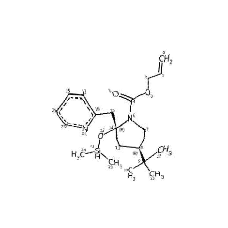 C=CCOC(=O)N1C[C@@H](C(C)(C)C)C[C@]1(Cc1ccccn1)O[SiH](C)C